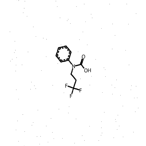 O=C(O)N(CCC(F)(F)F)c1ccccc1